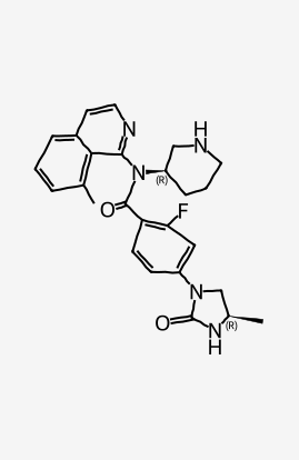 Cc1cccc2ccnc(N(C(=O)c3ccc(N4C[C@@H](C)NC4=O)cc3F)[C@@H]3CCCNC3)c12